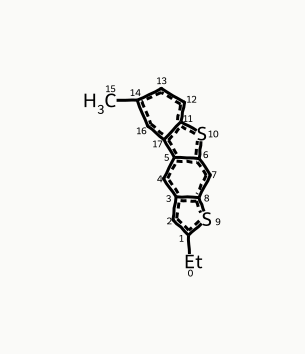 CCc1cc2cc3c(cc2s1)sc1ccc(C)cc13